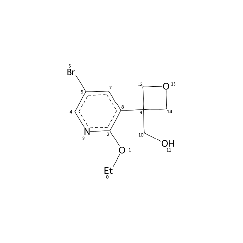 CCOc1ncc(Br)cc1C1(CO)COC1